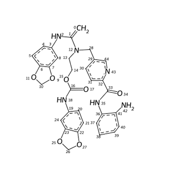 C=C(Nc1ccc2c(c1)OCO2)N(CCOC(=O)Nc1ccc2c(c1)OCO2)Cc1ccc(C(=O)Nc2ccccc2N)nc1